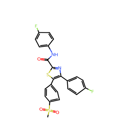 CS(=O)(=O)c1ccc(-c2sc(C(=O)Nc3ccc(F)cc3)nc2-c2ccc(F)cc2)cc1